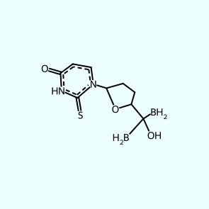 BC(B)(O)C1CCC(n2ccc(=O)[nH]c2=S)O1